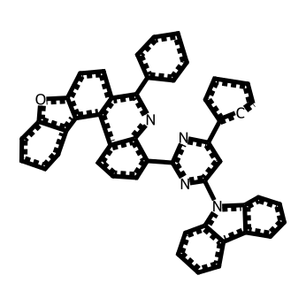 c1ccc(-c2cc(-n3c4ccccc4c4ccccc43)nc(-c3cccc4c3nc(-c3ccccc3)c3ccc5oc6ccccc6c5c34)n2)cc1